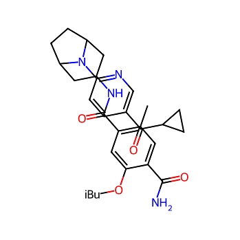 CCC(C)Oc1cc(C(=O)NC2CC3CCC(C2)N3c2ccc(C(=O)C3CC3)cn2)c(C)cc1C(N)=O